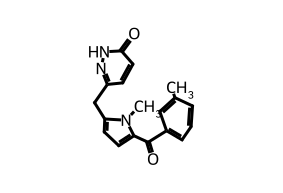 Cc1cccc(C(=O)c2ccc(Cc3ccc(=O)[nH]n3)n2C)c1